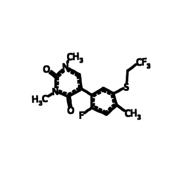 Cc1cc(F)c(-c2cn(C)c(=O)n(C)c2=O)cc1SCC(F)(F)F